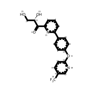 O=C(c1cccc(-c2ccc(Oc3ccc(C(F)(F)F)cn3)cc2)n1)[C@@H](O)CO